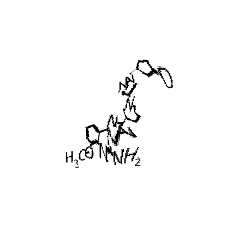 COc1cccc2c1nc(N)n1nc([C@@H]3CCCN(c4cnn(C[C@@H]5CCC(=O)C5)c4)C3)nc21